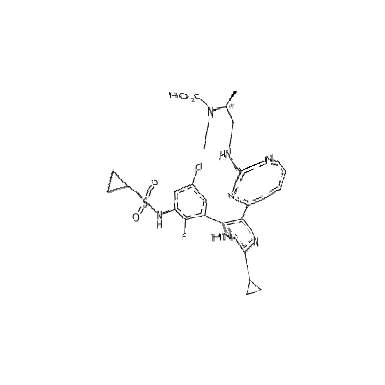 C[C@@H](CNc1nccc(-c2nc(C3CC3)[nH]c2-c2cc(Cl)cc(NS(=O)(=O)C3CC3)c2F)n1)N(C)C(=O)O